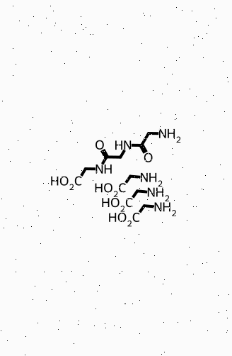 NCC(=O)NCC(=O)NCC(=O)O.NCC(=O)O.NCC(=O)O.NCC(=O)O